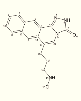 O=c1[nH]nc2c3cc4ccccc4cc3c(CCCNCl)cn12